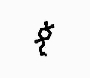 CCC[Si]1(Cl)CC[Si](Cl)(Cl)CC1